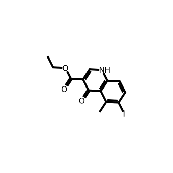 CCOC(=O)c1c[nH]c2ccc(I)c(C)c2c1=O